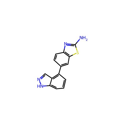 Nc1nc2ccc(-c3cccc4[nH]ncc34)cc2s1